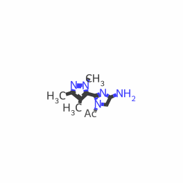 CC(=O)N1CC(N)N=C1c1c(C)c(C)nn1C